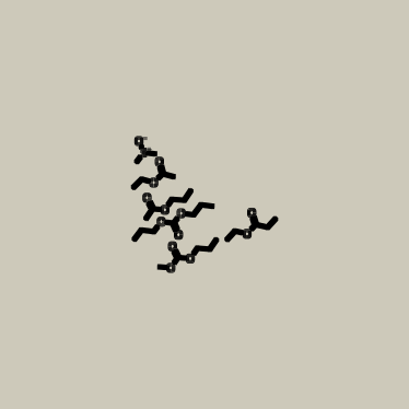 CCCOC(=O)OC.CCCOC(=O)OCCC.CCCOC(C)=O.CCOC(=O)CC.CCOC(C)=O.C[S+](C)[O-]